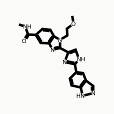 CNC(=O)c1ccc2c(c1)nc(-c1c[nH]c(-c3ccc4[nH]ncc4c3)n1)n2CCOC